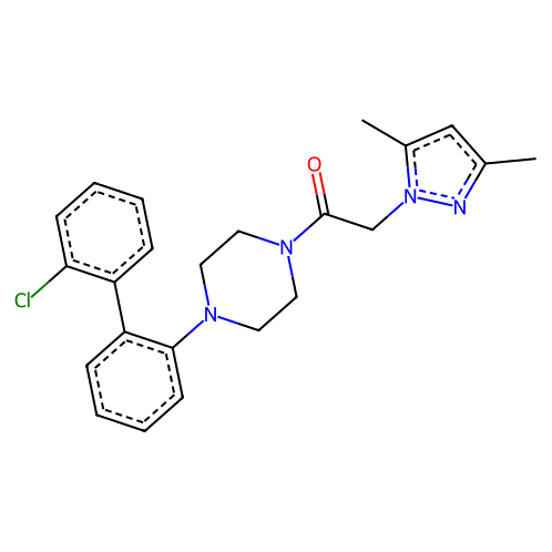 Cc1cc(C)n(CC(=O)N2CCN(c3ccccc3-c3ccccc3Cl)CC2)n1